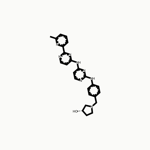 Cc1cccc(-c2nccc(Nc3ccnc(Nc4ccc(CN5CC[C@H](O)C5)cc4)n3)n2)n1